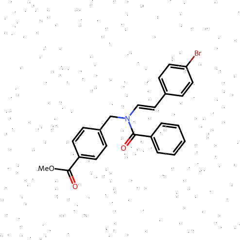 COC(=O)c1ccc(CN(C=Cc2ccc(Br)cc2)C(=O)c2ccccc2)cc1